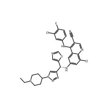 CCN1CCC(n2cc([C@@H](Nc3cc(Cl)c4ncc(C#N)c(Nc5ccc(F)c(Cl)c5)c4c3)c3cncs3)nn2)CC1